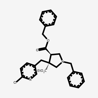 CCOC(=O)[C@@]1(Cc2ccc(Cl)nc2)CN(Cc2ccccc2)C[C@@H]1C(=O)OCc1ccccc1